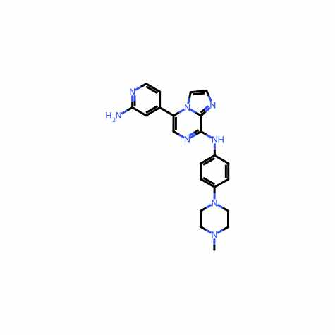 CN1CCN(c2ccc(Nc3ncc(-c4ccnc(N)c4)n4ccnc34)cc2)CC1